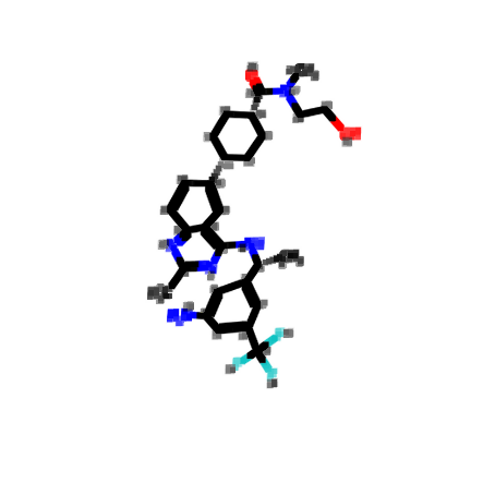 Cc1nc(N[C@H](C)c2cc(N)cc(C(F)(F)F)c2)c2cc([C@H]3CC[C@@H](C(=O)N(C)CCO)CC3)ccc2n1